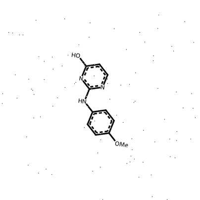 COc1ccc(Nc2nccc(O)n2)cc1